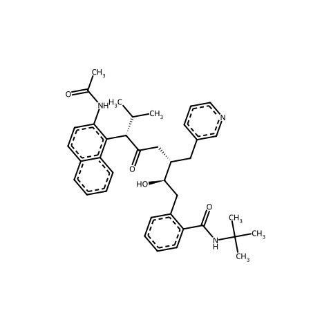 CC(=O)Nc1ccc2ccccc2c1[C@@H](C(=O)C[C@H](Cc1cccnc1)[C@H](O)Cc1ccccc1C(=O)NC(C)(C)C)C(C)C